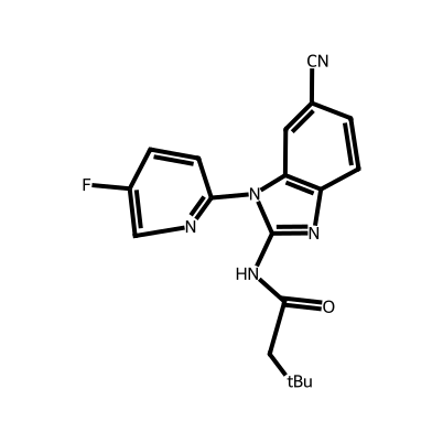 CC(C)(C)CC(=O)Nc1nc2ccc(C#N)cc2n1-c1ccc(F)cn1